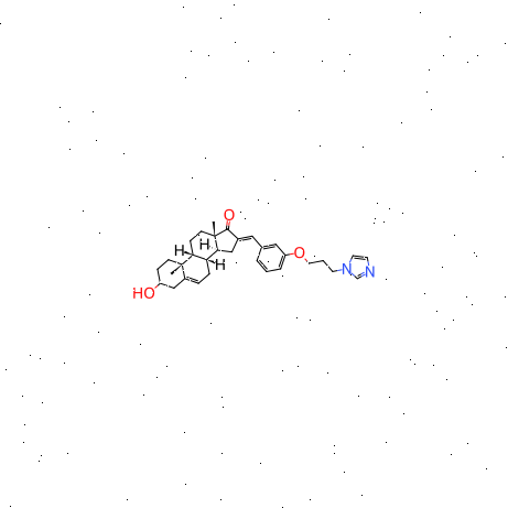 C[C@]12CCC(O)CC1=CC[C@@H]1[C@H]2CC[C@]2(C)C(=O)C(=Cc3cccc(OCCCn4ccnc4)c3)C[C@@H]12